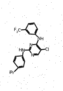 CC(C)c1ccc(Nc2ncc(Cl)c(Nc3cccc(C(F)(F)F)c3)n2)cc1